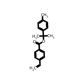 C=Cc1ccc(C(=O)OC(C)(C)c2ccc(C)cc2)cc1